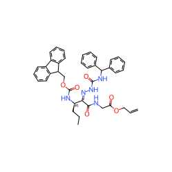 C=CCOC(=O)CNC(=O)C(=NNC(=O)NC(c1ccccc1)c1ccccc1)[C@@H](CCC)NC(=O)OCC1c2ccccc2-c2ccccc21